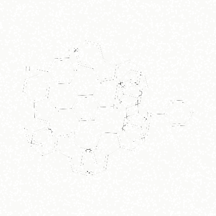 N#Cc1cc(C#N)cc(-c2c(-n3c4ccccc4c4ccccc43)c(-n3c4ccccc4c4ccccc43)c(C3c4ccccc4-c4ccc5c(c43)c3ccccc3n5-c3ccccc3)c(-n3c4ccccc4c4ccccc43)c2-n2c3ccccc3c3ccccc32)c1